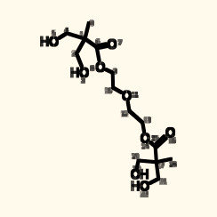 CC(CO)(CO)C(=O)OCCOCCOC(=O)C(C)(CO)CO